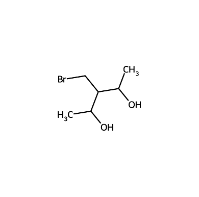 CC(O)C(CBr)C(C)O